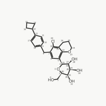 OC[C@H]1O[C@@H](c2cc(Cc3ccc(C4CCC4)cc3)c(Cl)c3c2OCCC3)[C@@H](O)[C@@H](O)[C@H]1O